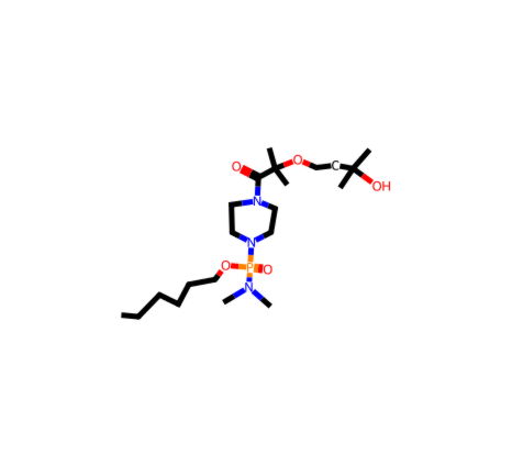 CCCCCCOP(=O)(N(C)C)N1CCN(C(=O)C(C)(C)OCCC(C)(C)O)CC1